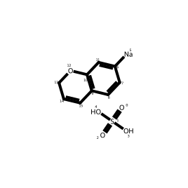 O=S(=O)(O)O.[Na][c]1ccc2c(c1)OCC=C2